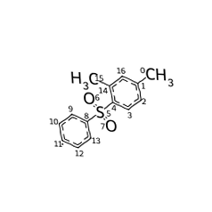 Cc1ccc(S(=O)(=O)c2cc[c]cc2)c(C)c1